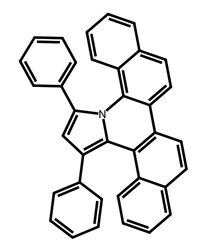 c1ccc(-c2cc(-c3ccccc3)n3c2c2c4ccccc4ccc2c2ccc4ccccc4c23)cc1